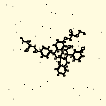 CCOC(=O)COc1ccc(C(CC(C)(C)N(Cc2ccccc2)[C@@H](CO)c2cccc(Cl)c2)c2ccc(OCC(=O)OCC)cc2)cc1